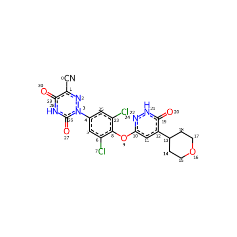 N#Cc1nn(-c2cc(Cl)c(Oc3cc(C4CCOCC4)c(=O)[nH]n3)c(Cl)c2)c(=O)[nH]c1=O